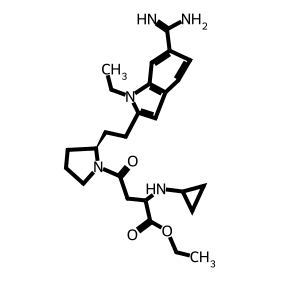 CCOC(=O)C(CC(=O)N1CCC[C@H]1CCc1cc2ccc(C(=N)N)cc2n1CC)NC1CC1